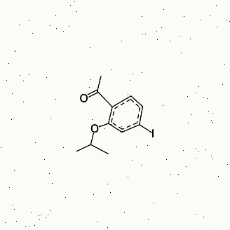 CC(=O)c1ccc(I)cc1OC(C)C